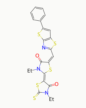 CCN1C(=O)/C(=c2\s/c(=C/c3nc4sc(-c5ccccc5)cc4s3)c(=O)n2CC)SC1=S